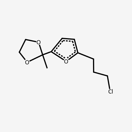 CC1(c2ccc(CCCCl)o2)OCCO1